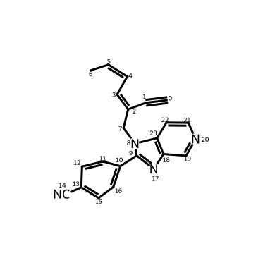 C#C/C(=C\C=C/C)Cn1c(-c2ccc(C#N)cc2)nc2cnccc21